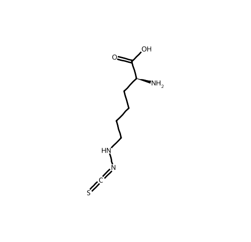 N[C@@H](CCCCNN=C=S)C(=O)O